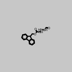 O=CBNNC(=O)OCC1c2ccccc2-c2ccccc21